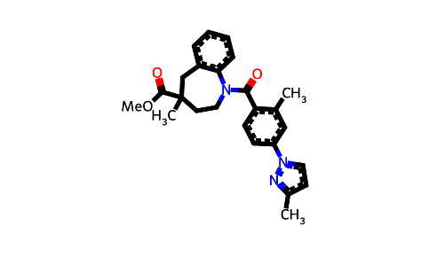 COC(=O)C1(C)CCN(C(=O)c2ccc(-n3ccc(C)n3)cc2C)c2ccccc2C1